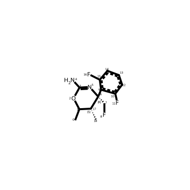 CC1OC(N)=N[C@@](CF)(c2c(F)cccc2F)[C@@H]1C